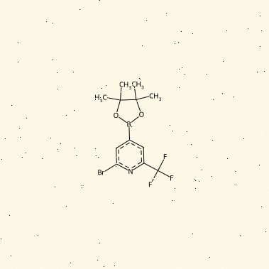 CC1(C)OB(c2cc(Br)nc(C(F)(F)F)c2)OC1(C)C